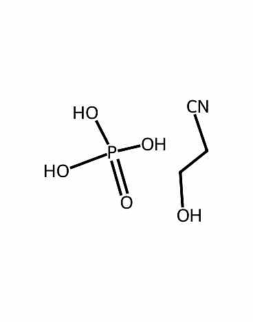 N#CCCO.O=P(O)(O)O